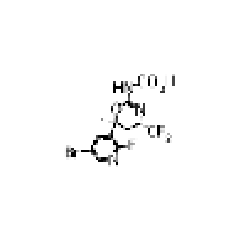 C[C@@]1(c2cc(Br)cnc2F)C[C@@H](C(F)(F)F)N=C(NC(=O)O)O1